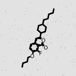 CCCCCC1CCC(c2cc3ccc(OCCCC)c(F)c3c(=O)o2)CC1